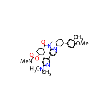 CNC(=O)O[C@H]1CC[C@H](C(=O)N(C[C@H]2CC[C@H](c3ccc(OC)c(C)c3)CC2)c2cc(-c3ccc(N(C)C)nc3)ccn2)CC1